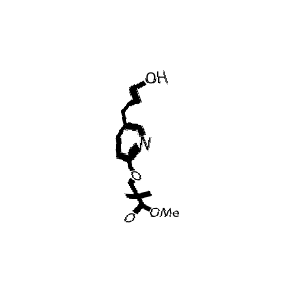 COC(=O)C(C)(C)COc1ccc(CCCO)cn1